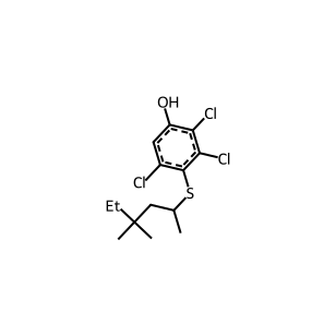 CCC(C)(C)CC(C)Sc1c(Cl)cc(O)c(Cl)c1Cl